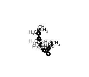 Cc1cc(-c2ccc(OC(C)C)c(C)c2)ccc1OC(=O)C(C)(C)C(C)(C)Oc1ccc(C2(c3ccc(OC(=O)C(C)C)cc3)CCCCC2)cc1